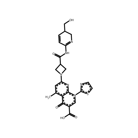 Cc1cc(N2CC(C(=O)NC3=NCC(CO)C=C3)C2)nc2c1c(=O)c(C(=O)O)cn2-c1nccs1